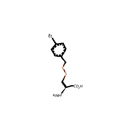 CCc1ccc(CSSC[C@H](NC(C)=O)C(=O)O)cc1